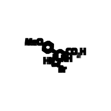 COc1ccc(C2CC(C(=O)O)NC3C(Br)=CNN32)cc1